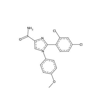 COc1ccc(-n2cc(C(N)=O)nc2-c2ccc(Cl)cc2Cl)cc1